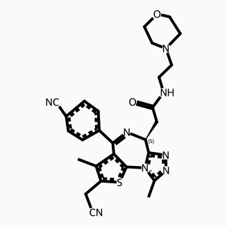 Cc1c(CC#N)sc2c1C(c1ccc(C#N)cc1)=N[C@@H](CC(=O)NCCN1CCOCC1)c1nnc(C)n1-2